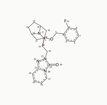 CC1(OCc2ccccc2F)CC2CCC(C1)N2CCCn1nc2ccccn2c1=O